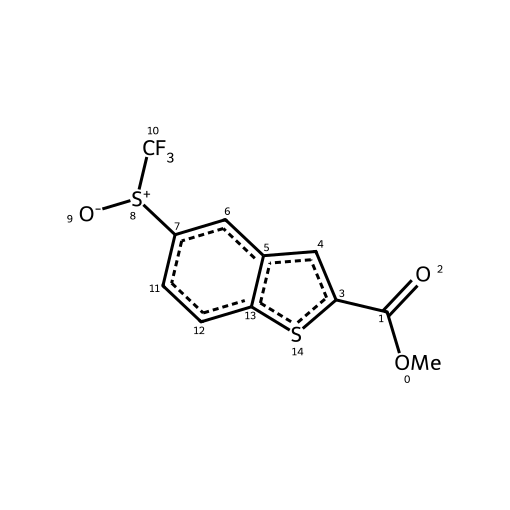 COC(=O)c1cc2cc([S+]([O-])C(F)(F)F)ccc2s1